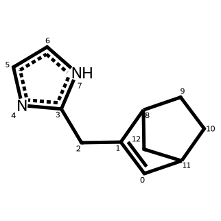 C1=C(Cc2ncc[nH]2)C2CCC1C2